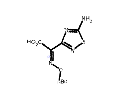 CCCCO/N=C(/C(=O)O)c1nsc(N)n1